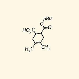 CCCCOC(=O)C1CC(C)=C(C)CC1C(=O)O